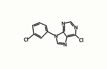 Clc1cccc(-n2cnc3c(Cl)ncnc32)c1